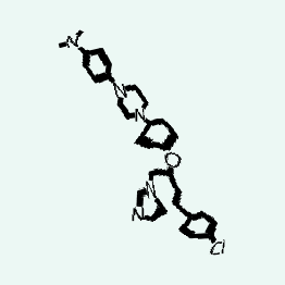 CN(C)c1ccc(N2CCN(c3ccc(OC(CCc4ccc(Cl)cc4)Cn4ccnc4)cc3)CC2)cc1